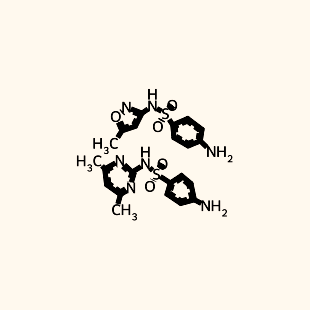 Cc1cc(C)nc(NS(=O)(=O)c2ccc(N)cc2)n1.Cc1cc(NS(=O)(=O)c2ccc(N)cc2)no1